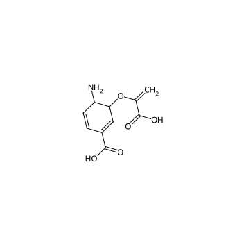 C=C(OC1C=C(C(=O)O)C=CC1N)C(=O)O